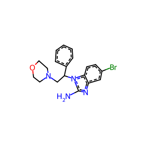 Nc1nc2cc(Br)ccc2n1C(CN1CCOCC1)c1ccccc1